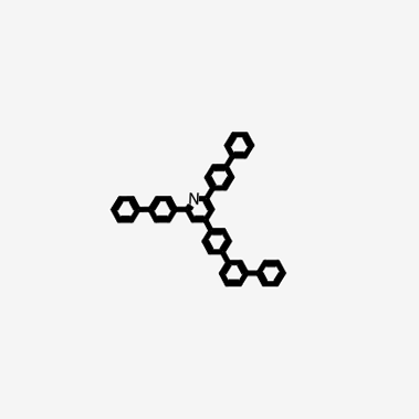 c1ccc(-c2ccc(-c3cc(-c4ccc(-c5cccc(-c6ccccc6)c5)cc4)cc(-c4ccc(-c5ccccc5)cc4)n3)cc2)cc1